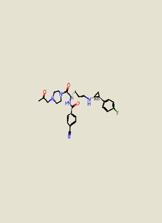 CC(=O)CN1CCN(C(=O)[C@H](CCCN[C@@H]2C[C@H]2c2ccc(F)cc2)NC(=O)c2ccc(C#N)cc2)CC1